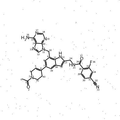 CC(=O)N1CC=C(c2cc(Cn3cnc4c(N)ncnc43)c3[nH]c(CNC(=O)c4ccc(C#N)cc4F)cc3c2)CC1